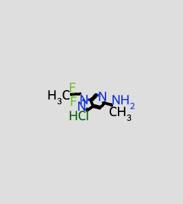 CC(N)c1cc2cnn(CC(C)(F)F)c2cn1.Cl